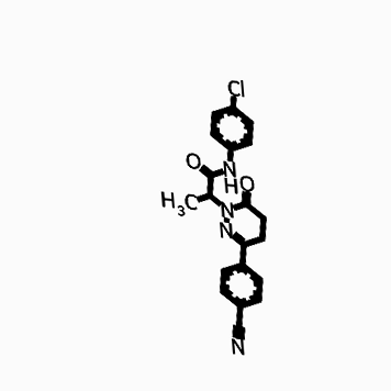 CC(C(=O)Nc1ccc(Cl)cc1)N1N=C(c2ccc(C#N)cc2)CCC1=O